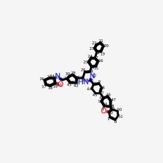 C1=Cc2oc3cc(C4=CC=C(C5=NC(c6ccc(-c7ccccc7)cc6)=CC(c6ccc(-c7nc8ccccc8o7)cc6)N5)CC4)ccc3c2CC1